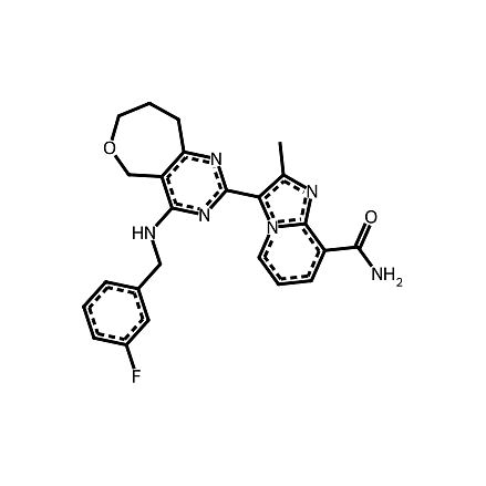 Cc1nc2c(C(N)=O)cccn2c1-c1nc2c(c(NCc3cccc(F)c3)n1)COCCC2